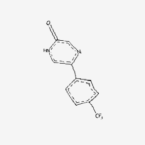 O=c1cnc(-c2ccc(C(F)(F)F)cc2)c[nH]1